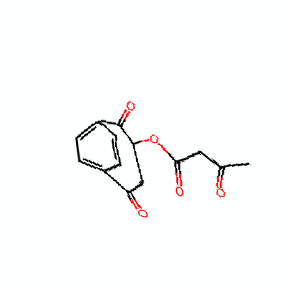 CC(=O)CC(=O)OC1CC(=O)c2ccc(cc2)C1=O